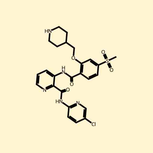 CS(=O)(=O)c1ccc(C(=O)Nc2cccnc2C(=O)Nc2ccc(Cl)cn2)c(OCC2CCNCC2)c1